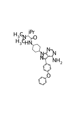 CC(C)[C@H](C(=O)NC1CCC(n2nc(-c3ccc(Oc4ccccc4)cc3)c3c(N)ncnc32)CC1)N(C)C